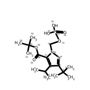 CC(C)c1c(C(C)(C)C)nn(COP(=O)(O)O)c1C(=O)OC(C)(C)C